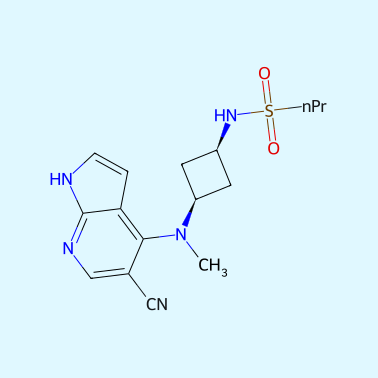 CCCS(=O)(=O)N[C@H]1C[C@@H](N(C)c2c(C#N)cnc3[nH]ccc23)C1